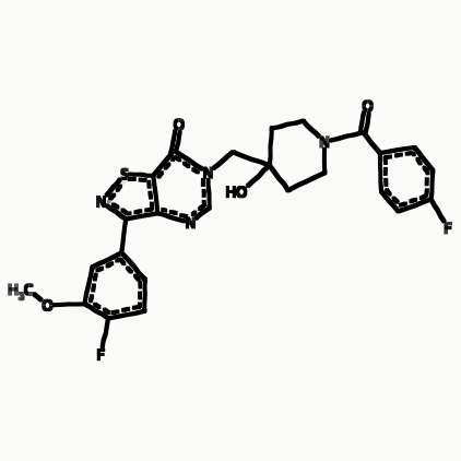 COc1cc(-c2nsc3c(=O)n(CC4(O)CCN(C(=O)c5ccc(F)cc5)CC4)cnc23)ccc1F